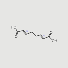 O=C(O)/C=C/CC/C=C/C(=O)O